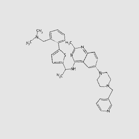 Cc1nc(NC(C)c2ccc(-c3ccccc3CN(C)C)s2)c2cc(N3CCN(Cc4cccnc4)CC3)ccc2n1